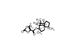 Cc1oc(=O)oc1C(=O)O[C@]1(C)CC[C@@]23C[C@@H]1C(C)(C)[C@@H]2CC[C@H]3C